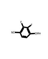 COc1ccc(C#N)c(F)c1F